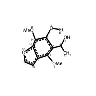 CCOc1c(C(C)O)c(OC)c2ccoc2c1OC